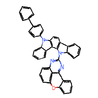 c1ccc(-c2ccc(-n3c4ccccc4c4c3ccc3c5ccccc5n(-c5nc6c7c(cccc7n5)Oc5ccccc5-6)c34)cc2)cc1